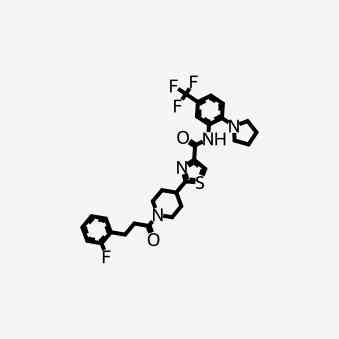 O=C(Nc1cc(C(F)(F)F)ccc1N1CCCC1)c1csc(C2CCN(C(=O)CCc3ccccc3F)CC2)n1